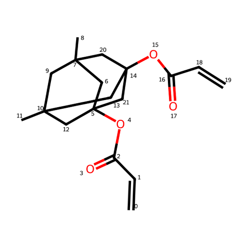 C=CC(=O)OC12CC3(C)CC(C)(C1)CC(OC(=O)C=C)(C3)C2